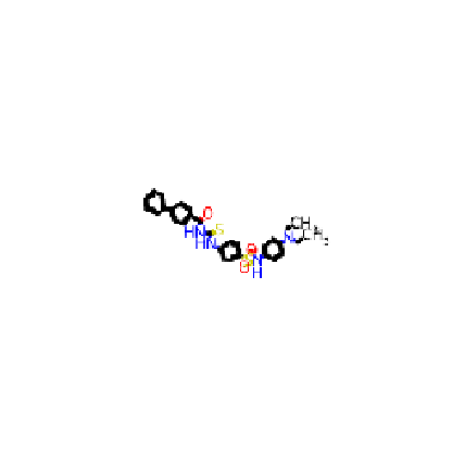 CCN(CC)c1ccc(NS(=O)(=O)c2ccc(NC(=S)NC(=O)c3ccc(-c4ccccc4)cc3)cc2)cc1